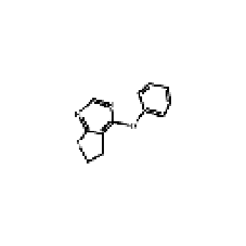 c1ccc(Oc2ncnc3c2CCS3)cc1